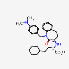 CN(C)c1ccc(CN2C(=O)[C@H](N[C@@H](CCC3CCCCC3)C(=O)O)CCc3ccccc32)cc1